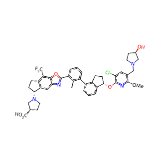 COc1nc(O[C@H]2CCc3c(-c4cccc(-c5nc6cc7c(c(C(F)(F)F)c6o5)CC[C@H]7N5CC[C@@H](C(=O)O)C5)c4C)cccc32)c(Cl)cc1CN1CC[C@@H](O)C1